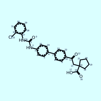 O=C(Nc1ccc(-c2ccc(C(=O)CC3(C(=O)O)CCCC3)cc2)cc1)Nc1ccccc1Cl